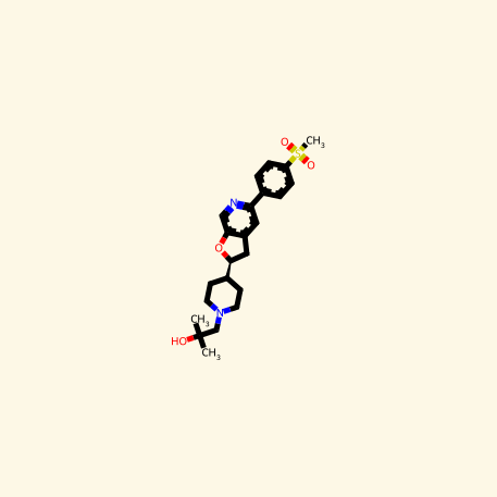 CC(C)(O)CN1CCC([C@@H]2Cc3cc(-c4ccc(S(C)(=O)=O)cc4)ncc3O2)CC1